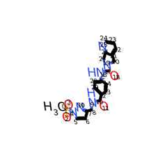 CS(=O)(=O)n1ccc(CNC(=O)c2ccc(NC(=O)N3Cc4cccnc4C3)cc2)n1